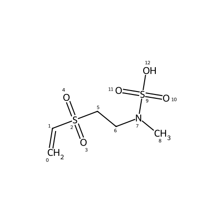 C=CS(=O)(=O)CCN(C)S(=O)(=O)O